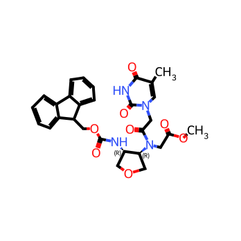 COC(=O)CN(C(=O)Cn1cc(C)c(=O)[nH]c1=O)[C@H]1COC[C@@H]1NC(=O)OCC1c2ccccc2-c2ccccc21